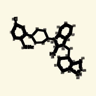 CC(=O)Nc1ccc(Cl)cc1N1CCC(n2c(=N)n(Cc3cccc4[nH]nnc34)c3ccccc32)CC1